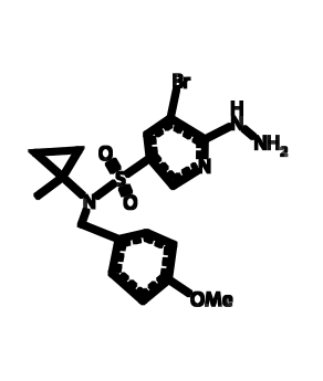 COc1ccc(CN(C2(C)CC2)S(=O)(=O)c2cnc(NN)c(Br)c2)cc1